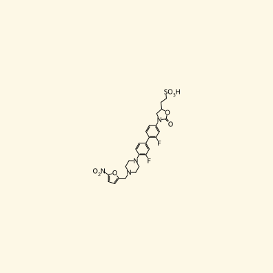 O=C1OC(CCS(=O)(=O)O)CN1c1ccc(-c2ccc(N3CCN(Cc4ccc([N+](=O)[O-])o4)CC3)c(F)c2)c(F)c1